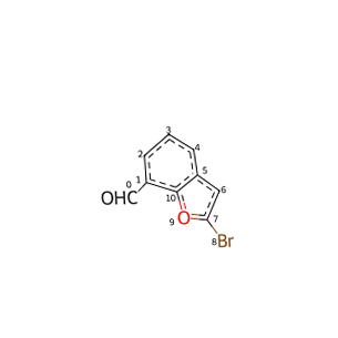 O=Cc1cccc2cc(Br)oc12